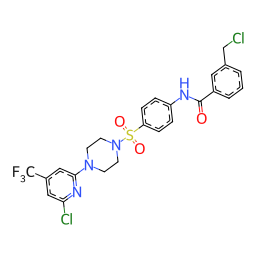 O=C(Nc1ccc(S(=O)(=O)N2CCN(c3cc(C(F)(F)F)cc(Cl)n3)CC2)cc1)c1cccc(CCl)c1